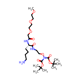 COCCOCCOCC(=O)N[C@@H](CCCCN)C(=O)NCCON(C(=O)OC(C)(C)C)C(=O)OC(C)(C)C